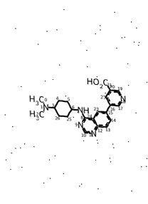 CN(C)C1CCC(Nc2ncnc3ccc(-c4cncc(C(=O)O)c4)cc23)CC1